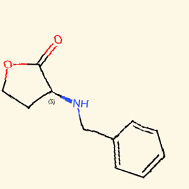 O=C1OCC[C@@H]1NCc1ccccc1